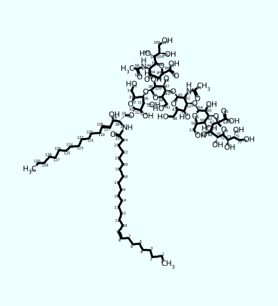 CCCCCCCC/C=C\CCCCCCCCCCCCCCCC(=O)N[C@@H](CO[C@@H]1OC(CO)[C@@H](O[C@@H]2OC(CO)[C@H](O[C@@H]3OC(CO)[C@H](O)[C@H](O[C@@H]4OC(CO)[C@H](O)[C@H](O[C@]5(C(=O)O)CC(O)[C@@H](O)C([C@H](O)[C@H](O)CO)O5)C4O)C3NC(C)=O)[C@H](O[C@]3(C(=O)O)CC(O)[C@@H](NC(C)=O)C([C@H](O)[C@H](O)CO)O3)C2O)[C@H](O)C1O)[C@H](O)/C=C/CCCCCCCCCCCCC